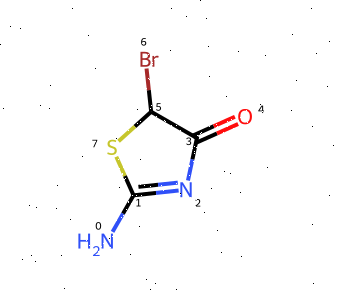 NC1=NC(=O)C(Br)S1